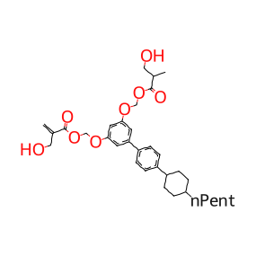 C=C(CO)C(=O)OCOc1cc(OCOC(=O)C(C)CO)cc(-c2ccc(C3CCC(CCCCC)CC3)cc2)c1